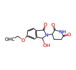 O=CCOc1ccc2c(c1)C(O)N(C1CCC(=O)NC1=O)C2=O